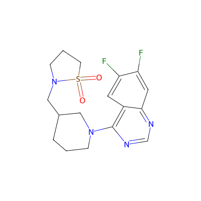 O=S1(=O)CCCN1CC1CCCN(c2ncnc3cc(F)c(F)cc23)C1